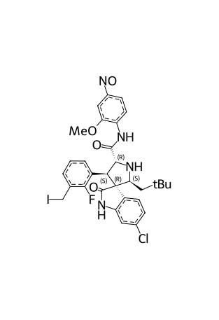 COc1cc(N=O)ccc1NC(=O)[C@@H]1N[C@@H](CC(C)(C)C)[C@@]2(C(=O)Nc3cc(Cl)ccc32)[C@H]1c1cccc(CI)c1F